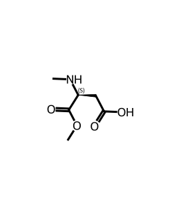 CN[C@@H](CC(=O)O)C(=O)OC